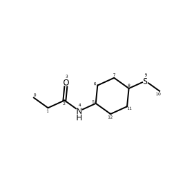 CCC(=O)NC1CCC(SC)CC1